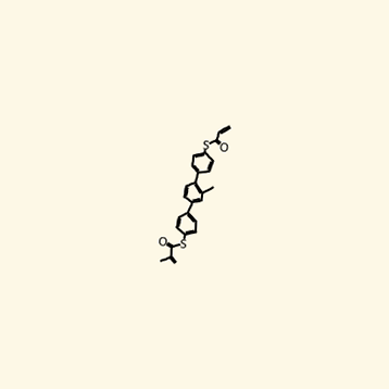 C=CC(=O)Sc1ccc(-c2ccc(-c3ccc(SC(=O)C(=C)C)cc3)cc2C)cc1